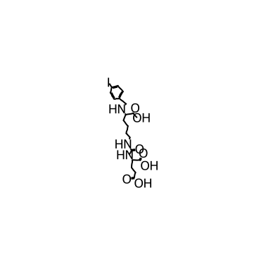 O=C(O)CCC(NC(=O)NCCCCC(NCc1ccc(I)cc1)C(=O)O)C(=O)O